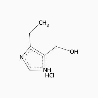 CCc1nc[nH]c1CO.Cl